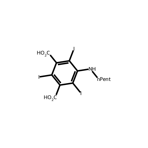 CCCCCNc1c(I)c(C(=O)O)c(I)c(C(=O)O)c1I